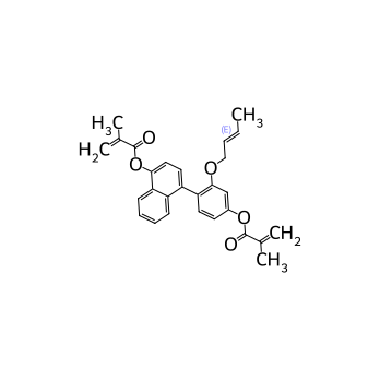 C=C(C)C(=O)Oc1ccc(-c2ccc(OC(=O)C(=C)C)c3ccccc23)c(OC/C=C/C)c1